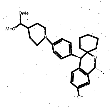 COC(OC)C1CCN(c2ccc([C@@H]3c4ccc(O)cc4[C@@H](C)OC34CCCCC4)cc2)CC1